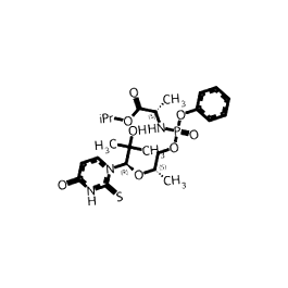 CC(C)OC(=O)[C@H](C)NP(=O)(OC[C@H](C)O[C@@H](n1ccc(=O)[nH]c1=S)C(C)(C)O)Oc1ccccc1